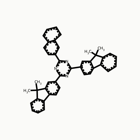 CC1(C)c2ccccc2-c2ccc(-c3nc(-c4ccc5c(c4)C(C)(C)c4ccccc4-5)nc(-c4ccc5ccccc5c4)n3)cc21